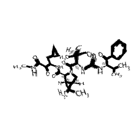 CNC(=O)C(=O)C(CC1CC1)NC(=O)[C@@H]1[C@@H]2[C@H](CN1C(=O)[C@@H](NC(=O)N[C@H](C(=O)c1ccccc1)C(C)C)C(C)(C)C)C2(C)C